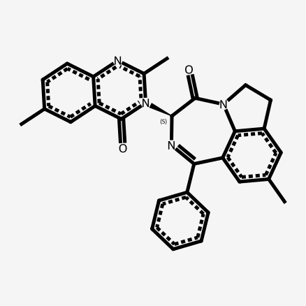 Cc1cc2c3c(c1)C(c1ccccc1)=N[C@@H](n1c(C)nc4ccc(C)cc4c1=O)C(=O)N3CC2